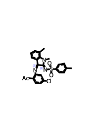 CC(=O)c1ccc(Cl)cc1/N=C1\C(=N\S(=O)(=O)c2ccc(C)cc2)N(C)c2c(C)cccc21